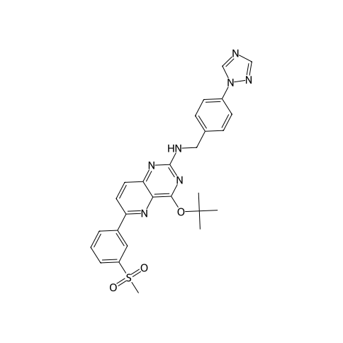 CC(C)(C)Oc1nc(NCc2ccc(-n3cncn3)cc2)nc2ccc(-c3cccc(S(C)(=O)=O)c3)nc12